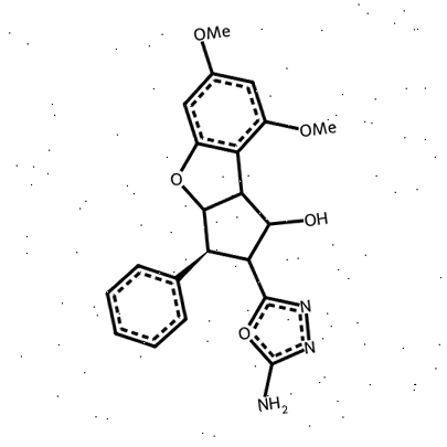 COc1cc(OC)c2c(c1)OC1C2C(O)C(c2nnc(N)o2)[C@H]1c1ccccc1